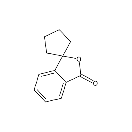 O=C1OC2(CCCC2)c2ccccc21